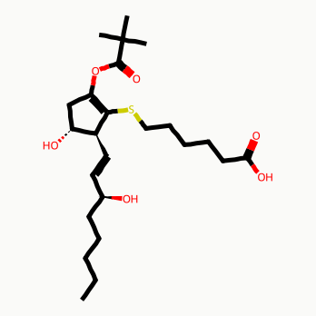 CCCCC[C@H](O)/C=C/[C@@H]1C(SCCCCCC(=O)O)=C(OC(=O)C(C)(C)C)C[C@H]1O